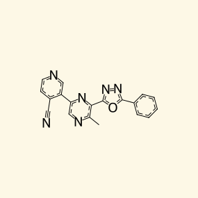 Cc1ncc(-c2cnccc2C#N)nc1-c1nnc(-c2ccccc2)o1